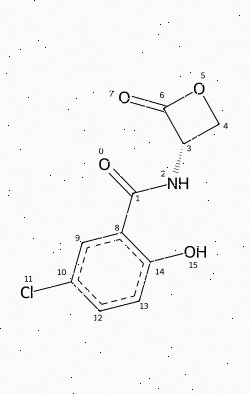 O=C(N[C@H]1COC1=O)c1cc(Cl)ccc1O